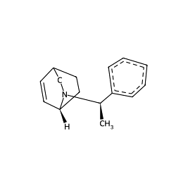 C[C@H](c1ccccc1)N1CC2C=C[C@H]1CC2